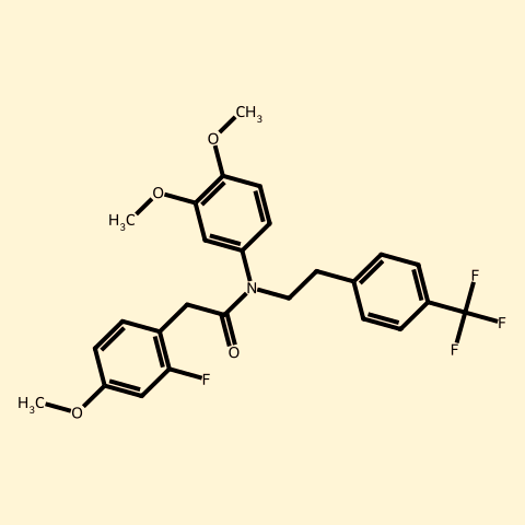 COc1ccc(CC(=O)N(CCc2ccc(C(F)(F)F)cc2)c2ccc(OC)c(OC)c2)c(F)c1